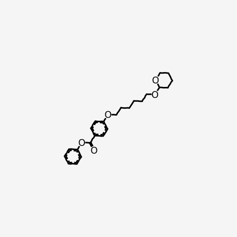 O=C(Oc1ccccc1)c1ccc(OCCCCCCOC2CCCCO2)cc1